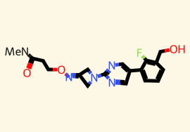 CNC(=O)CCON=C1CN(c2ncc(-c3cccc(CO)c3F)cn2)C1